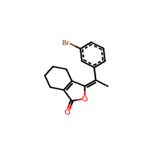 CC(=C1OC(=O)C2=C1CCCC2)c1cccc(Br)c1